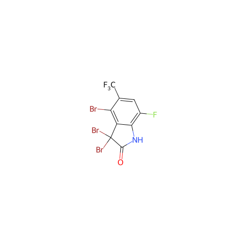 O=C1Nc2c(F)cc(C(F)(F)F)c(Br)c2C1(Br)Br